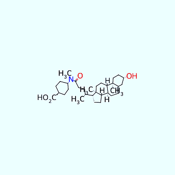 C[C@H](CCC(=O)N(C)[C@H]1CC[C@H](C(=O)O)CC1)[C@H]1CC[C@H]2[C@@H]3CC=C4C[C@@H](O)CC[C@]4(C)[C@H]3CC[C@]12C